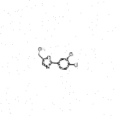 OCc1cnc(-c2ccc(Cl)c(Cl)c2)o1